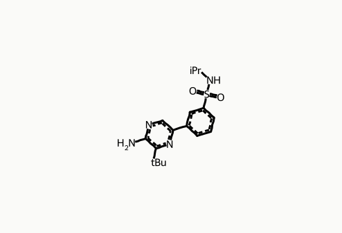 CC(C)NS(=O)(=O)c1cccc(-c2cnc(N)c(C(C)(C)C)n2)c1